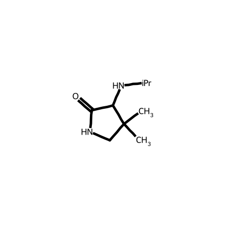 CC(C)NC1C(=O)NCC1(C)C